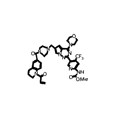 C=CC(=O)N1CCCc2cc(C(=O)N3CCN(Cc4cc5c(N6CCOCC6)nc(-c6cnc(NC(=O)OC)cc6C(F)(F)F)nn5c4)CC3)ccc21